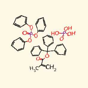 C=C(C)C(=O)OC(c1ccccc1)(c1ccccc1)c1ccccc1.O=P(O)(O)O.O=P(Oc1ccccc1)(Oc1ccccc1)Oc1ccccc1